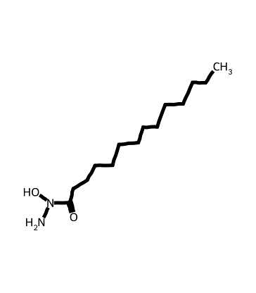 CCCCCCCCCCCCCC(=O)N(N)O